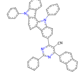 N#Cc1c(-c2ccc3ccccc3c2)nc(-c2ccccc2)nc1-c1ccc2c(c1)c1ccc3c(c4ccccc4n3-c3ccccc3)c1n2-c1ccccc1